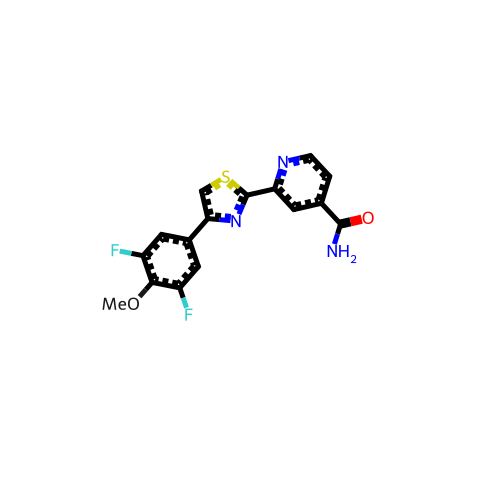 COc1c(F)cc(-c2csc(-c3cc(C(N)=O)ccn3)n2)cc1F